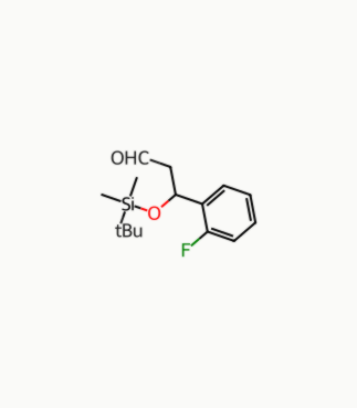 CC(C)(C)[Si](C)(C)OC(CC=O)c1ccccc1F